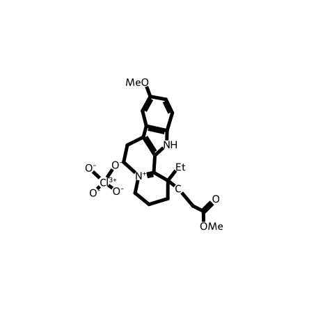 CCC1(CCC(=O)OC)CCC[N+]2=C1c1[nH]c3ccc(OC)cc3c1CC2.[O-][Cl+3]([O-])([O-])[O-]